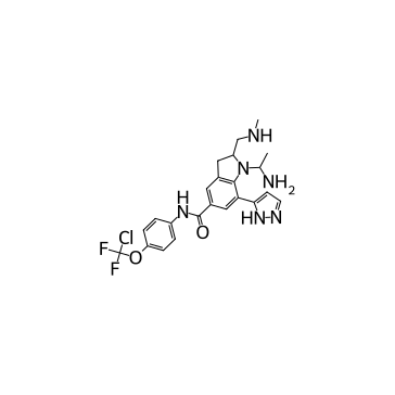 CNCC1Cc2cc(C(=O)Nc3ccc(OC(F)(F)Cl)cc3)cc(-c3ccn[nH]3)c2N1C(C)N